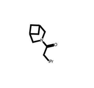 CC(C)CC(=O)N1CC2CC(C2)C1